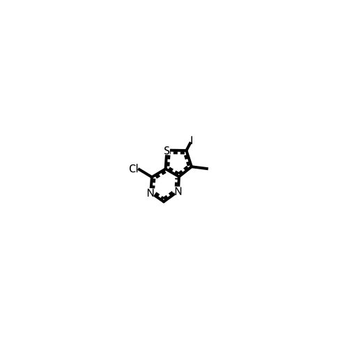 Cc1c(I)sc2c(Cl)ncnc12